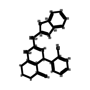 O=C1CCCC2=C1C(c1cccnc1Cl)N=C(Nc1nc3ccccc3o1)N2